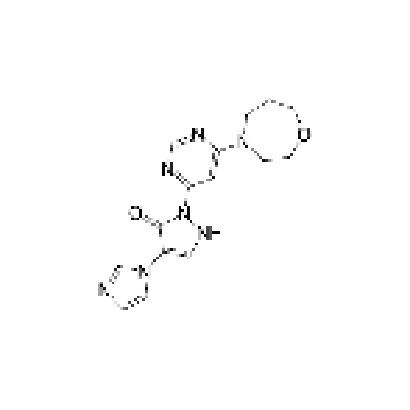 O=c1c(-n2ccnc2)c[nH]n1-c1cc(N2CCCOCC2)ncn1